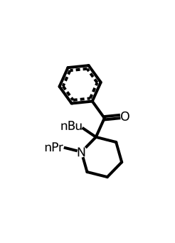 CCCCC1(C(=O)c2ccccc2)CCCCN1CCC